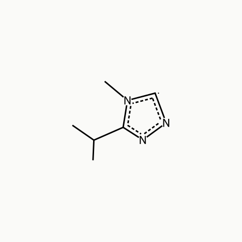 CC(C)c1nn[c]n1C